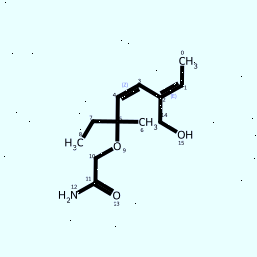 C/C=C(\C=C/C(C)(CC)OCC(N)=O)CO